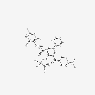 CCN(c1cc(-c2cnccn2)cc(C(=O)NCc2c(C)cc(C)[nH]c2=O)c1C)C1CCC(N(C)C)CC1.O=C(O)C(F)(F)F